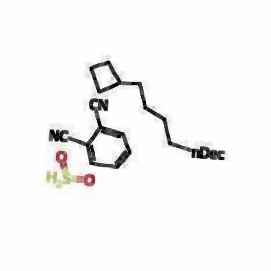 CCCCCCCCCCCCCCC1CCC1.N#Cc1ccccc1C#N.O=[SH2]=O